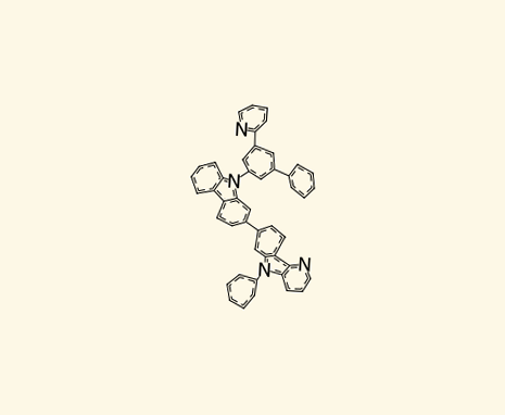 c1ccc(-c2cc(-c3ccccn3)cc(-n3c4ccccc4c4ccc(-c5ccc6c7ncccc7n(-c7ccccc7)c6c5)cc43)c2)cc1